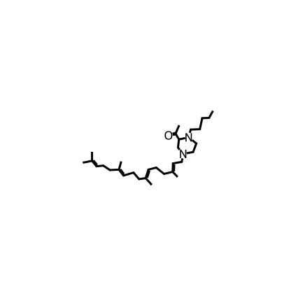 CCCCCN1CCN(C/C=C(\C)CC/C=C(\C)CC/C=C(\C)CCC=C(C)C)CC1C(C)=O